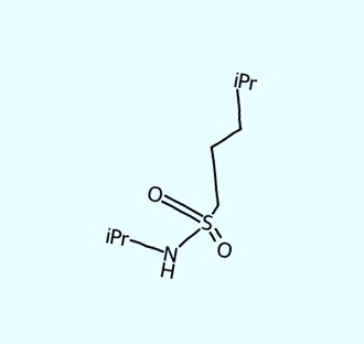 CC(C)CCCS(=O)(=O)NC(C)C